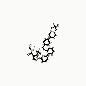 CCOC(=O)c1cnn(-c2cccc(-c3ccccc3OCc3ccc(C4CCN(CC(F)(F)F)CC4)cc3)n2)c1C(F)(F)F